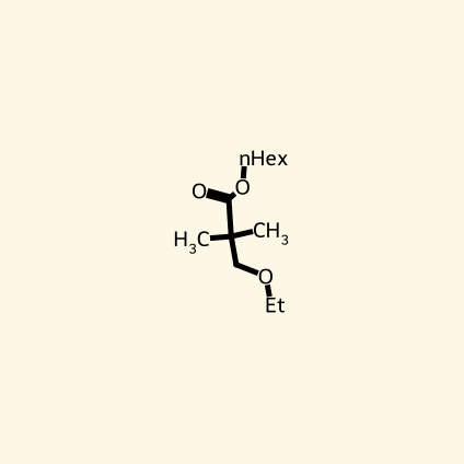 CCCCCCOC(=O)C(C)(C)COCC